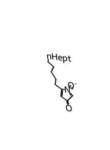 CCCCCCCCCCCCC1=CC(=O)C=[N+]1[O-]